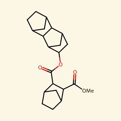 COC(=O)C1C2CCC(C2)C1C(=O)OC1CC2CC1C1C3CCC(C3)C21